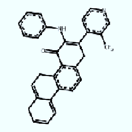 O=C1C(Nc2ccccc2)=C(c2ccncc2C(F)(F)F)Cc2ccc3c(c21)CC=C1CC=CC=C13